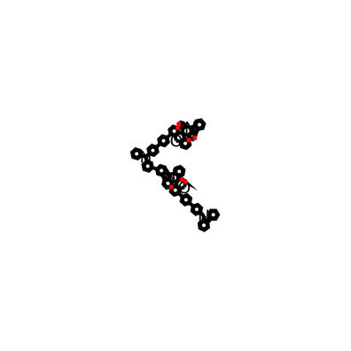 c1ccc(N(c2ccc(-c3ccc(-c4cccc5c4Oc4ccccc4C54c5ccccc5-n5c6ccccc6c6cccc4c65)cc3)cc2)c2cccc(-c3ccc4c(c3)c3cccc5c3n4-c3ccccc3C53c4ccccc4Oc4c(-c5ccc(-c6ccc(-n7c8ccccc8c8ccccc87)cc6)cc5)cccc43)c2)cc1